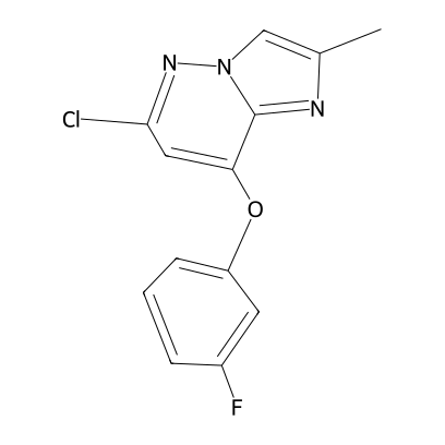 Cc1cn2nc(Cl)cc(Oc3cccc(F)c3)c2n1